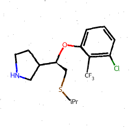 CC(C)SC[C@H](Oc1cccc(Cl)c1C(F)(F)F)C1CCNC1